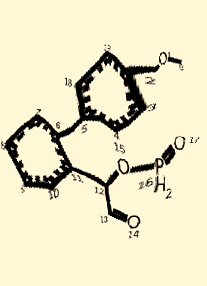 COc1ccc(-c2ccccc2C(C=O)O[PH2]=O)cc1